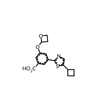 O=C(O)c1cc(OC2CCO2)cc(-c2ncc(C3CCC3)s2)c1